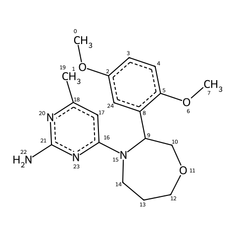 COc1ccc(OC)c(C2COCCCN2c2cc(C)nc(N)n2)c1